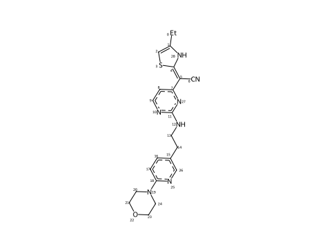 CCC1=CSC(=C(C#N)c2ccnc(NCCc3ccc(N4CCOCC4)nc3)n2)N1